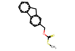 CSC(=S)OCc1ccc2c(c1)Cc1ccccc1-2